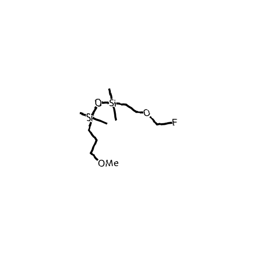 COCCC[Si](C)(C)O[Si](C)(C)CCOCF